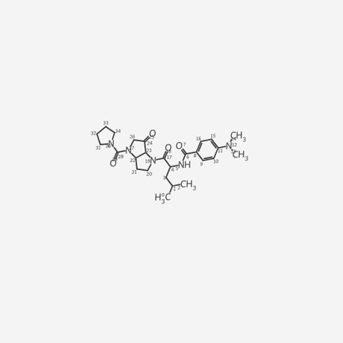 CC(C)CC(NC(=O)c1ccc(N(C)C)cc1)C(=O)N1CCC2C1C(=O)CN2C(=O)N1CCCC1